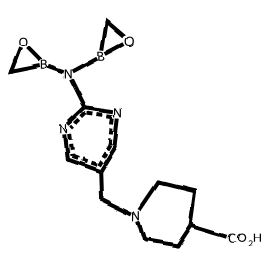 O=C(O)C1CCN(Cc2cnc(N(B3CO3)B3CO3)nc2)CC1